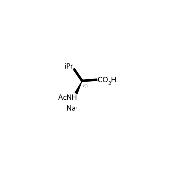 CC(=O)N[C@H](C(=O)O)C(C)C.[Na]